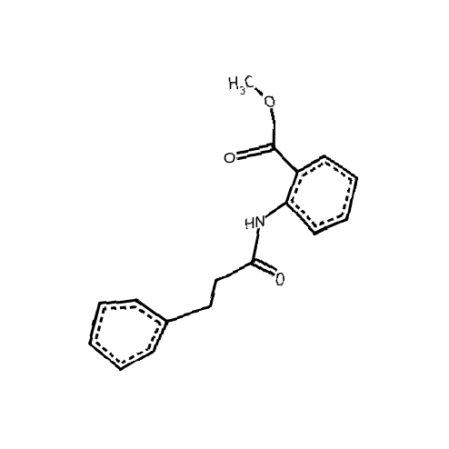 COC(=O)c1ccccc1NC(=O)CCc1ccccc1